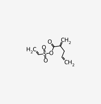 C=CCC(=C)C(=O)OS(=O)(=O)C=C